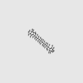 FC1=C(C(F)(F)C(F)(F)C(F)(F)C(F)(F)C(F)(F)C(F)(F)C(F)(F)C(F)(F)C(F)(F)C(F)(F)C2=C(F)C(F)(F)C(F)(F)C2(F)F)C(F)(F)C(F)(F)C1(F)F